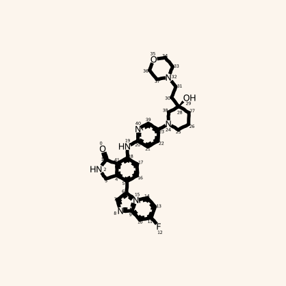 O=C1NCc2c(-c3cnc4cc(F)ccn34)ccc(Nc3ccc(N4CCC[C@@](O)(CCN5CCOCC5)C4)cn3)c21